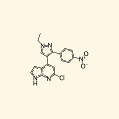 CCn1cc(-c2cc(Cl)nc3[nH]ccc23)c(-c2ccc([N+](=O)[O-])cc2)n1